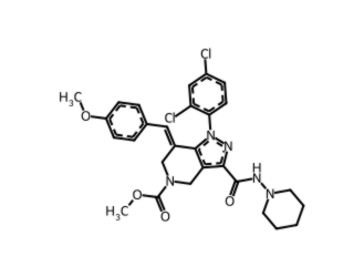 COC(=O)N1CC(=Cc2ccc(OC)cc2)c2c(c(C(=O)NN3CCCCC3)nn2-c2ccc(Cl)cc2Cl)C1